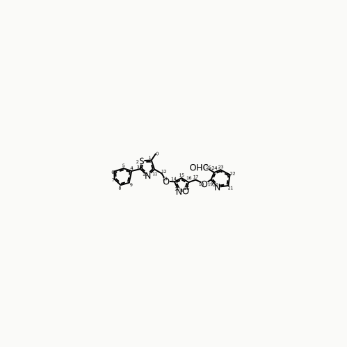 Cc1sc(-c2ccccc2)nc1COc1cc(COc2ncccc2C=O)on1